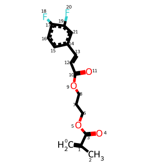 C=C(C)C(=O)OCCCOC(=O)/C=C/c1ccc(F)c(F)c1